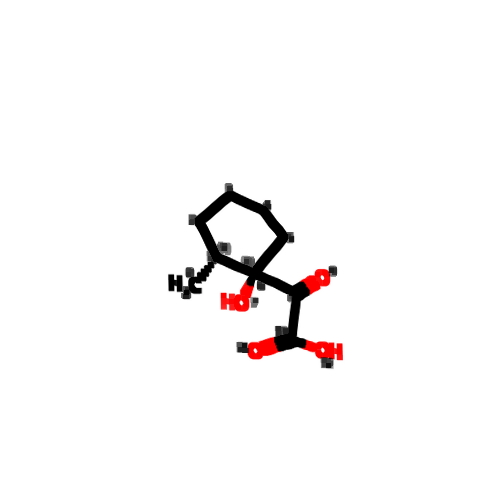 C[C@@H]1CCCC[C@]1(O)C(=O)C(=O)O